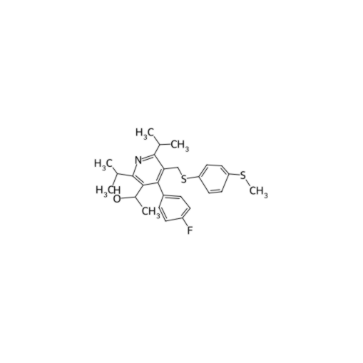 CSc1ccc(SCc2c(C(C)C)nc(C(C)C)c(C(C)O)c2-c2ccc(F)cc2)cc1